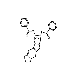 O=C(OC1C2CC(C1OC(=O)c1ccccc1)C1C3=C(CC4CCCC4=C3)CC21)c1ccccc1